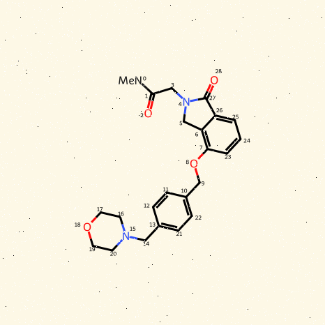 CNC(=O)CN1Cc2c(OCc3ccc(CN4CCOCC4)cc3)cccc2C1=O